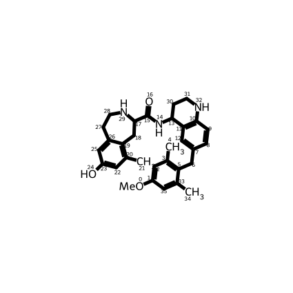 COc1cc(C)c(Cc2ccc3c(c2)C(NC(=O)C2Cc4c(C)cc(O)cc4CCN2)CCN3)c(C)c1